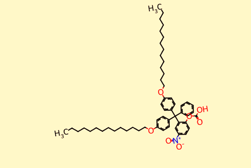 CCCCCCCCCCCCCCOc1ccc(C(c2ccccc2)(c2ccc(OCCCCCCCCCCCCCC)cc2)c2cc([N+](=O)[O-])ccc2OC(=O)O)cc1